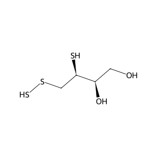 OC[C@@H](O)[C@H](S)CSS